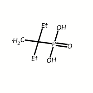 [CH2]C(CC)(CC)P(=O)(O)O